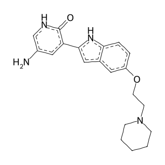 Nc1c[nH]c(=O)c(-c2cc3cc(OCCN4CCCCC4)ccc3[nH]2)c1